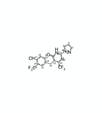 O=c1[nH]c(-n2cccn2)nc(C(F)(F)F)c1Cc1ccc(Cl)c(C(F)(F)F)c1